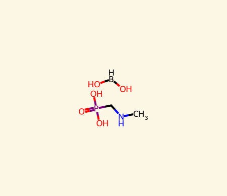 CNCP(=O)(O)O.OBO